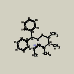 CC/N=N\N(C)[C@@H](C)C(C)CCC(c1ccccn1)c1ccccn1